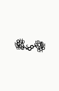 CC(C)(C)OC(=O)N1[C@@H]2CC[C@@H](C2)[C@H]1C(=O)OCC(=O)c1ccc2c(ccc3cc(C(=O)COC(=O)[C@@H]4[C@H]5CC[C@H](C5)N4C(=O)OC(C)(C)C)sc32)c1